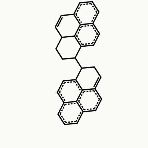 C1=CC2CCC(C3CC=c4ccc5cccc6ccc3c4c65)c3ccc4cccc1c4c32